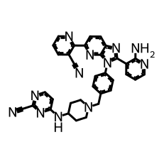 N#Cc1nccc(NC2CCN(Cc3ccc(-n4c(-c5cccnc5N)nc5ccc(-c6ncccc6C#N)nc54)cc3)CC2)n1